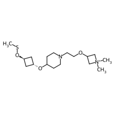 CSO[C@H]1C[C@H](OC2CCN(CCOC3C[N+](C)(C)C3)CC2)C1